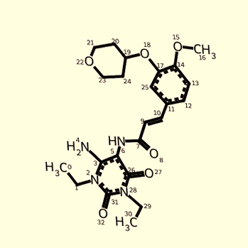 CCn1c(N)c(NC(=O)/C=C/c2ccc(OC)c(OC3CCOCC3)c2)c(=O)n(CC)c1=O